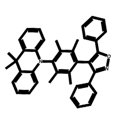 Cc1c(C)c(N2c3ccccc3C(C)(C)c3ccccc32)c(C)c(C)c1-c1c(-c2ccccc2)noc1-c1ccccc1